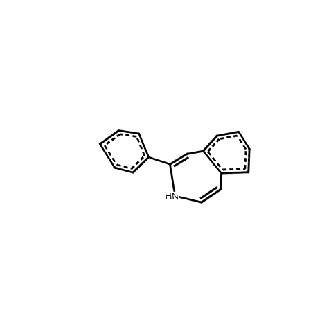 C1=Cc2ccccc2C=C(c2ccccc2)N1